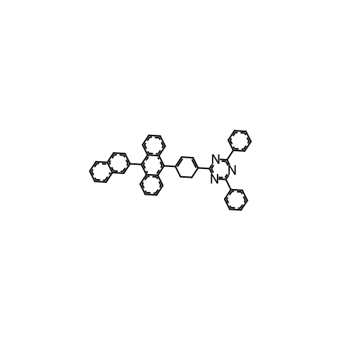 C1=C(c2nc(-c3ccccc3)nc(-c3ccccc3)n2)CCC(c2c3ccccc3c(-c3ccc4ccccc4c3)c3ccccc23)=C1